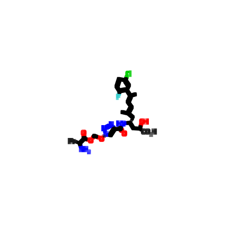 C/C(=C\C=C(/C)c1cc(Cl)ccc1F)C[C@H](C[C@@H](O)C(=O)O)NC(=O)c1cn(OCOC(=O)[C@@H](N)C(C)C)nn1